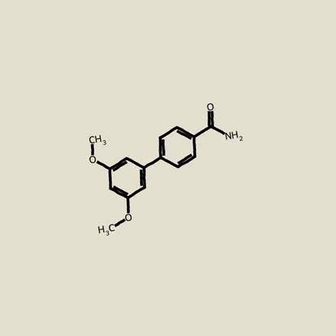 COc1cc(OC)cc(-c2ccc(C(N)=O)cc2)c1